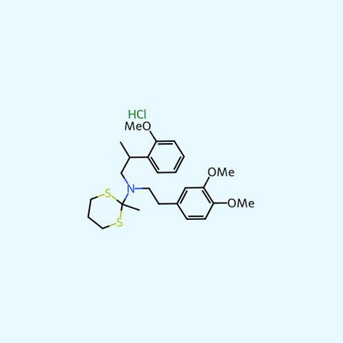 COc1ccc(CCN(CC(C)c2ccccc2OC)C2(C)SCCCS2)cc1OC.Cl